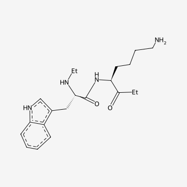 CCN[C@@H](Cc1c[nH]c2ccccc12)C(=O)N[C@@H](CCCCN)C(=O)CC